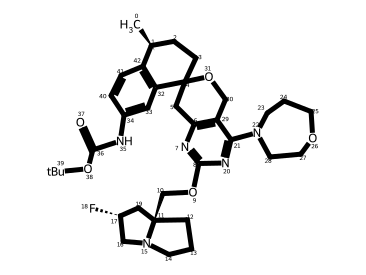 C[C@H]1CCC2(Cc3nc(OC[C@@]45CCCN4C[C@H](F)C5)nc(N4CCCOCC4)c3CO2)c2cc(NC(=O)OC(C)(C)C)ccc21